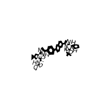 COC(=O)N[C@@H](C)C(=O)N1CC2(CC2)C[C@H]1c1ncc(-c2ccc(-c3ccc4cc(-c5cnc([C@@H]6[C@H]7CC[C@H](C7)N6C(=O)OC(C)(C)C)[nH]5)ccc4c3)cc2)[nH]1